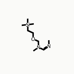 C/N=C\N(C)COCC[Si](C)(C)C